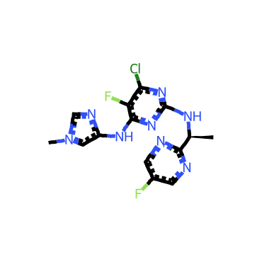 C[C@H](Nc1nc(Cl)c(F)c(Nc2cn(C)cn2)n1)c1ncc(F)cn1